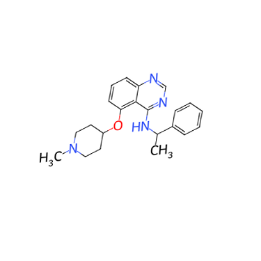 CC(Nc1ncnc2cccc(OC3CCN(C)CC3)c12)c1ccccc1